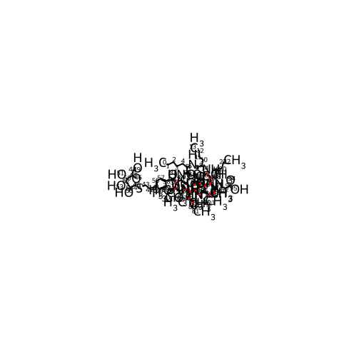 CCCCCC(NC(=O)C(CCCC)NC(=O)C(CCCCC)NC(=O)C(NC(=O)C(NC(=O)C(NC(=O)c1ccc(CCSC2OC(CO)C(O)C(O)C2O)cc1)C(C)C)C(C)C)C(C)C)C(=O)NC(CCC)C(=O)NC(CCCC)C(=O)NC(C(=O)C(C(=O)NCC(=O)O)C(C)C)C(C)C